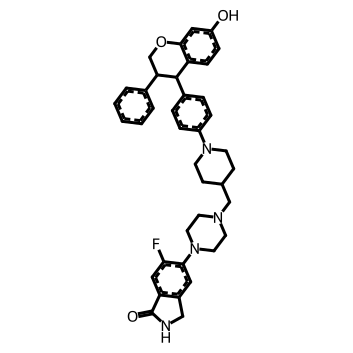 O=C1NCc2cc(N3CCN(CC4CCN(c5ccc(C6c7ccc(O)cc7OCC6c6ccccc6)cc5)CC4)CC3)c(F)cc21